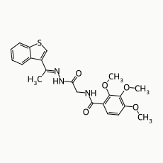 COc1ccc(C(=O)NCC(=O)N/N=C(\C)c2csc3ccccc23)c(OC)c1OC